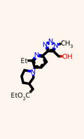 CCOC(=O)CC1CCCN(c2ccc(-c3nnn(C)c3CO)nc2CC)C1